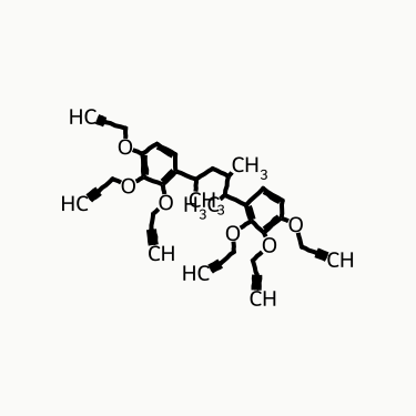 C#CCOc1ccc(C(C)CC(C)C(C)c2ccc(OCC#C)c(OCC#C)c2OCC#C)c(OCC#C)c1OCC#C